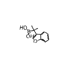 CC(C)(B(O)O)c1coc2ccccc12